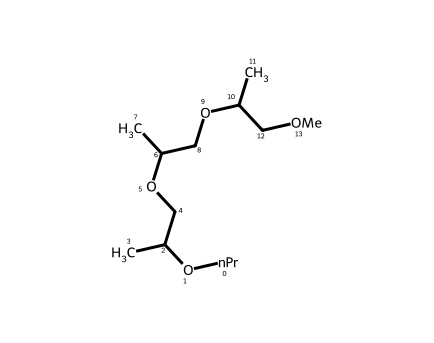 CCCOC(C)COC(C)COC(C)COC